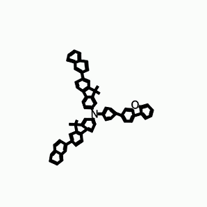 CC1(C)c2cc(-c3ccc4ccccc4c3)ccc2-c2ccc(N(c3ccc(-c4ccc5c(c4)oc4ccccc45)cc3)c3ccc4c(c3)C(C)(C)c3cc(-c5ccc6ccccc6c5)ccc3-4)cc21